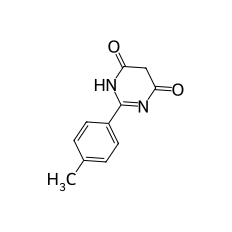 Cc1ccc(C2=NC(=O)CC(=O)N2)cc1